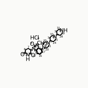 Cl.Cn1c(=O)n(C2CCC(=O)NC2=O)c2cccc(N3CCN(C4CCN(C5CCNCC5)CC4)CC3)c21